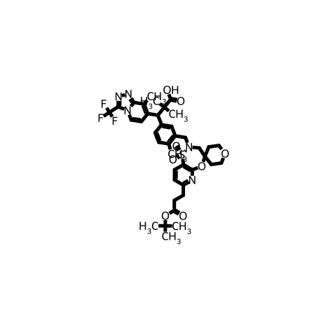 Cc1ccc(C(c2ccn3c(C(F)(F)F)nnc3c2C)C(C)(C)C(=O)O)cc1CN1CC2(CCOCC2)Oc2nc(CCC(=O)OC(C)(C)C)ccc2S1(=O)=O